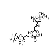 CC(C)(C)OC(=O)CC[C@H](NC(=O)CNC(=O)OC(C)(C)C)C(=O)O